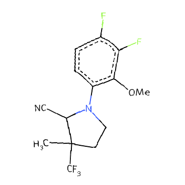 COc1c(N2CCC(C)(C(F)(F)F)C2C#N)ccc(F)c1F